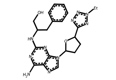 CCn1nnc(C2CCC(n3cnc4c(N)nc(NC(CO)Cc5ccccc5)nc43)O2)n1